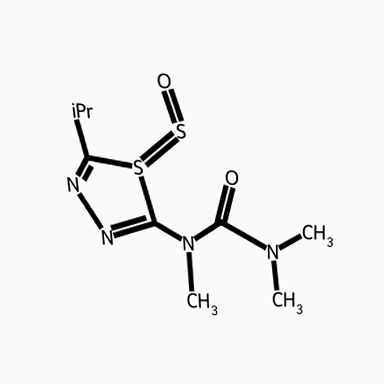 CC(C)C1=NN=C(N(C)C(=O)N(C)C)S1=S=O